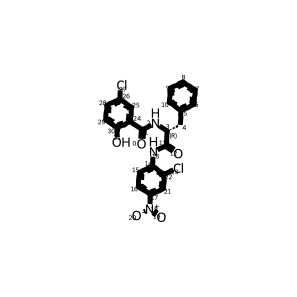 O=C(N[C@H](Cc1ccccc1)C(=O)Nc1ccc([N+](=O)[O-])cc1Cl)c1cc(Cl)ccc1O